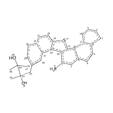 Bc1cc2ccc3ccccc3c2c2sc3ccc4ccc(CC(C)(O)C(C)(C)O)cc4c3c12